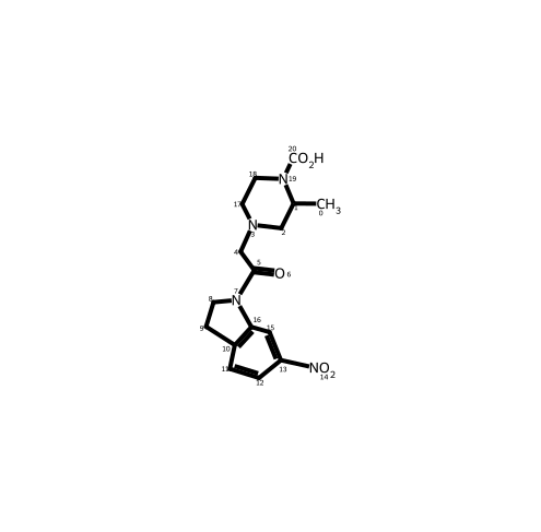 CC1CN(CC(=O)N2CCc3ccc([N+](=O)[O-])cc32)CCN1C(=O)O